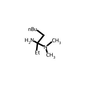 CCCCCC(N)(CC)N(C)C